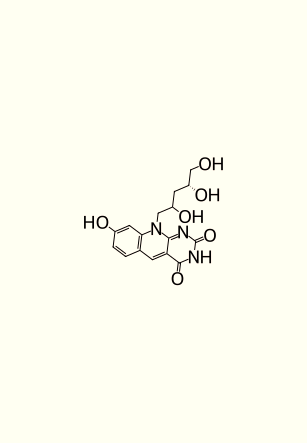 O=c1nc2n(CC(O)C[C@@H](O)CO)c3cc(O)ccc3cc-2c(=O)[nH]1